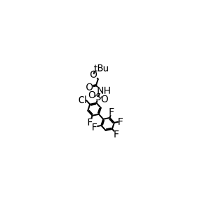 CC(C)(C)OCC(=O)NS(=O)(=O)c1cc(-c2c(F)cc(F)c(F)c2F)c(F)cc1Cl